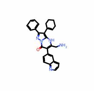 NCc1[nH]c2c(C3=CCCCC3)c(-c3ccccc3)nn2c(=O)c1-c1ccc2ncccc2c1